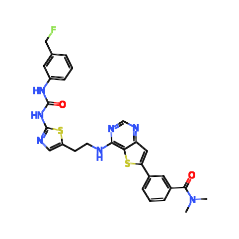 CN(C)C(=O)c1cccc(-c2cc3ncnc(NCCc4cnc(NC(=O)Nc5cccc(CF)c5)s4)c3s2)c1